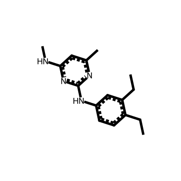 CCc1ccc(Nc2nc(C)cc(NC)n2)cc1CC